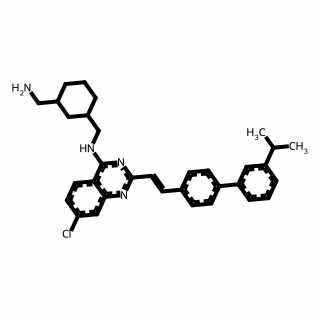 CC(C)c1cccc(-c2ccc(C=Cc3nc(NCC4CCCC(CN)C4)c4ccc(Cl)cc4n3)cc2)c1